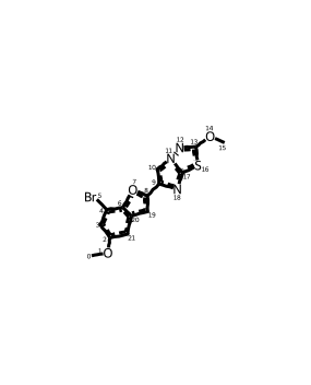 COc1cc(Br)c2oc(-c3cn4nc(OC)sc4n3)cc2c1